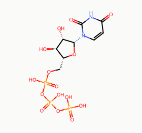 O=c1ccn([C@@H]2O[C@H](COP(=O)(O)OP(=O)(O)OP(=O)(O)O)[C@@H](O)[C@@H]2O)c(=O)[nH]1